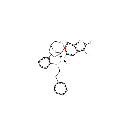 CCc1oc2ccc(S(=O)(=O)N(CCc3ccccc3)c3ccccc3N3C4CCC3CNC4)cc2c1C